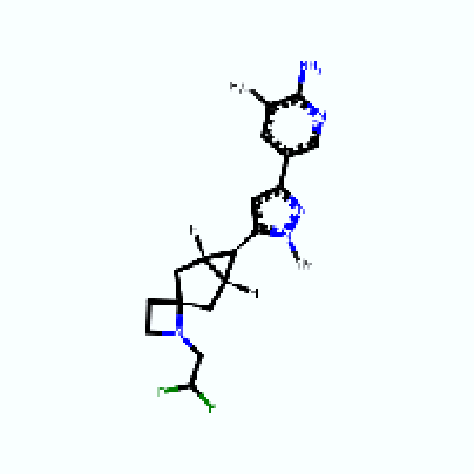 CC(C)n1nc(-c2cnc(N)c(C(F)(F)F)c2)cc1[C@H]1[C@@H]2C[C@@]3(CCN3CC(F)F)C[C@@H]21